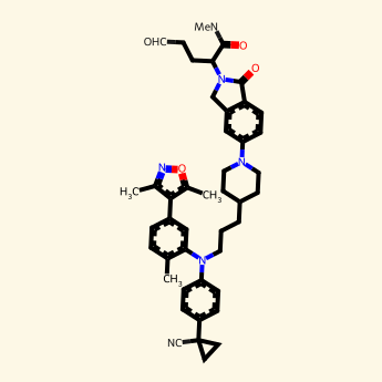 CNC(=O)C(CCC=O)N1Cc2cc(N3CCC(CCCN(c4ccc(C5(C#N)CC5)cc4)c4cc(-c5c(C)noc5C)ccc4C)CC3)ccc2C1=O